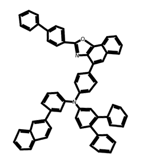 c1ccc(-c2ccc(-c3nc4c(-c5ccc(N(c6cccc(-c7ccc8ccccc8c7)c6)c6ccc(-c7ccccc7)c(-c7ccccc7)c6)cc5)cc5ccccc5c4o3)cc2)cc1